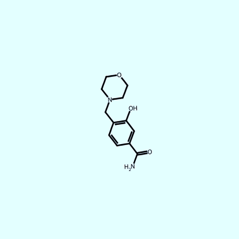 NC(=O)c1ccc(CN2CCOCC2)c(O)c1